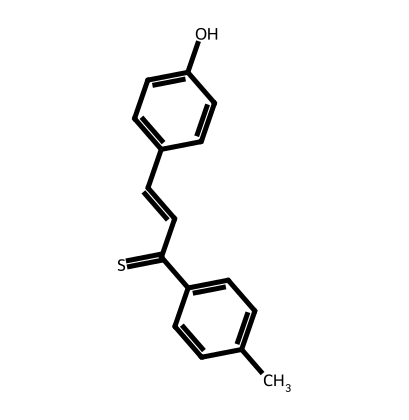 Cc1ccc(C(=S)C=Cc2ccc(O)cc2)cc1